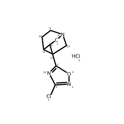 Cl.Clc1noc(C2CN3CCC2CC3)n1